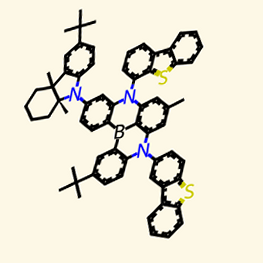 Cc1cc2c3c(c1)N(c1cccc4c1sc1ccccc14)c1cc(N4c5ccc(C(C)(C)C)cc5C5(C)CCCC[C@@]45C)ccc1B3c1cc(C(C)(C)C)ccc1N2c1ccc2sc3ccccc3c2c1